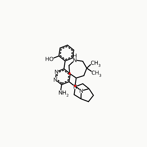 CC1(C)CNCCC(CN2C3CCC2CN(c2cc(-c4ccccc4O)nnc2N)C3)C1